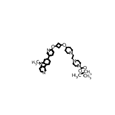 Cn1c2ccncc2c2ccc(-c3ccc(OC4CC(OC5CCN(CCN6CCN(C(=O)OC(C)(C)C)CC6)CC5)C4)nc3)cc21